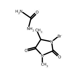 CC1C(=O)N(C)C(=O)N1Br.NC(N)=O